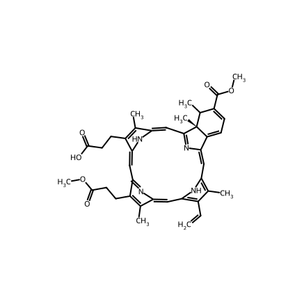 C=Cc1c(C)c2cc3nc(cc4[nH]c(cc5nc(cc1[nH]2)C(C)=C5CCC(=O)OC)c(CCC(=O)O)c4C)[C@@]1(C)C3=CC=C(C(=O)OC)C1C